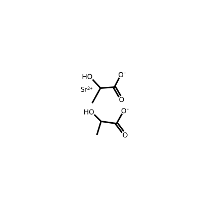 CC(O)C(=O)[O-].CC(O)C(=O)[O-].[Sr+2]